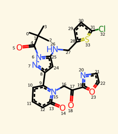 CC(C)(C)C(=O)n1nc(-c2cccc(=O)n2CC(=O)c2ncco2)cc1NCc1ccc(Cl)s1